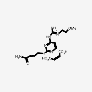 COCCN=C(N)Nc1ccnc(SCCCC(N)=O)n1.O=C(O)/C=C\C(=O)O